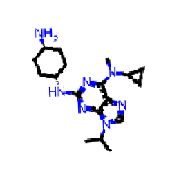 CC(C)n1cnc2c(N(C)C3CC3)nc(N[C@H]3CC[C@H](N)CC3)nc21